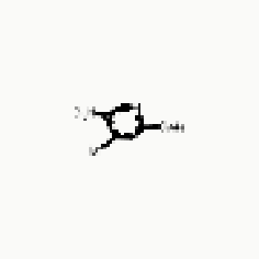 COc1cc(Br)c([N+](=O)[O-])cn1